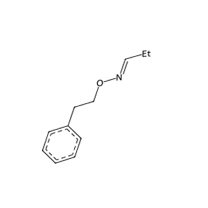 CC/C=N/OCCc1ccccc1